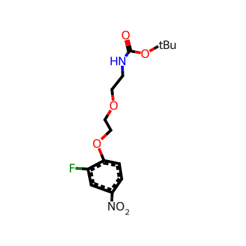 CC(C)(C)OC(=O)NCCOCCOc1ccc([N+](=O)[O-])cc1F